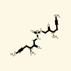 CC#CC[C@H](C)C(=O)CO[PH](=O)OCC(=O)[C@@H](C)CC#CC